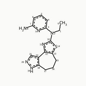 CCN(c1cccc(N)n1)c1nc2c(s1)CCCc1[nH]ncc1-2